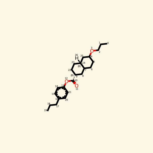 CCCOC1CCC2C[C@H](C(=O)Oc3ccc(CCC)cc3)CC[C@@H]2C1